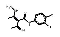 CC(=N)/C(C(=O)Nc1ccc(Cl)c(Cl)c1)=C(\C)NN